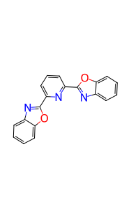 c1cc(-c2nc3ccccc3o2)nc(-c2nc3ccccc3o2)c1